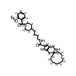 O=C(NCCCCC1CCN(C(=O)c2ccccc2OF)CC1)c1cc2c([nH]1)CC1(CCCCCCCCC1)NC2